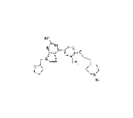 CCN1CCC(CCOc2ccc(-c3nc(C#N)nc4c3ccn4CC3CCCO3)cc2C)CC1